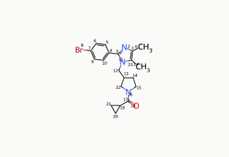 Cc1nc(-c2ccc(Br)cc2)n(CC2CCN(C(=O)C3CC3)C2)c1C